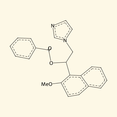 COc1ccc2ccccc2c1C(Cn1ccnc1)OC(=O)c1ccccc1